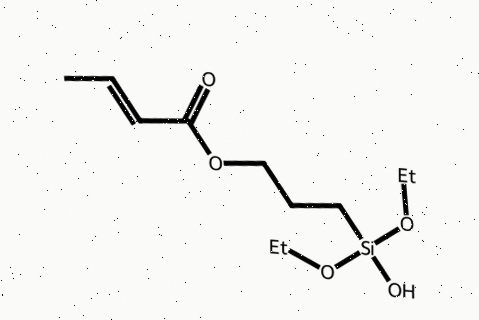 CC=CC(=O)OCCC[Si](O)(OCC)OCC